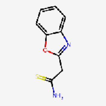 NC(=S)Cc1nc2ccccc2o1